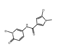 CCn1cc(NC(=O)c2cc(Cl)n(C)c2)ccc1=O